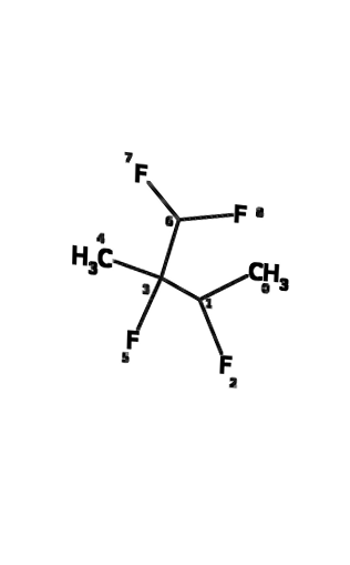 CC(F)C(C)(F)C(F)F